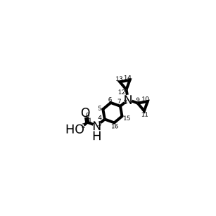 O=C(O)NC1CCC(N(C2CC2)C2CC2)CC1